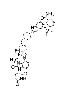 Cn1c(=O)n(C2CCC(=O)NC2=O)c2cccc(N3CC4(CCN(CC5CCC(n6cc7cc(N8C(C(F)(F)F)=CC=CC8C(N)=O)ccc7n6)CC5)CC4(F)F)C3)c21